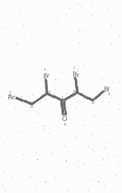 O=C(C(Br)CBr)C(Br)CBr